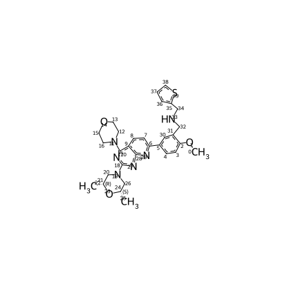 COc1ccc(-c2ccc3c(N4CCOCC4)nc(N4C[C@@H](C)O[C@@H](C)C4)nc3n2)cc1CNCc1cccs1